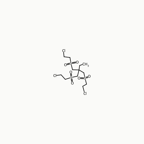 CCC(CS(=O)(=O)CCCl)(CS(=O)(=O)CCCl)CS(=O)(=O)CCCl